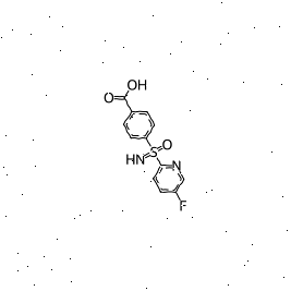 N=S(=O)(c1ccc(C(=O)O)cc1)c1ccc(F)cn1